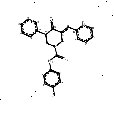 Cc1ccc(NC(=O)N2CC(=Cc3ccccn3)C(=O)C(c3ccccc3)C2)cc1